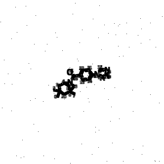 CC1(C)CC2CC(C)(CN2C(=O)c2ccc(-n3cnnn3)cc2)C1